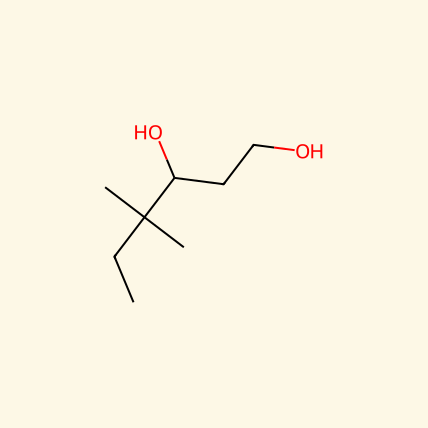 CCC(C)(C)C(O)CCO